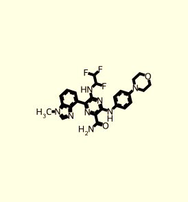 Cn1cnc2c(-c3nc(C(N)=O)c(Nc4ccc(N5CCOCC5)cc4)nc3NC(F)C(F)F)cccc21